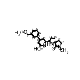 COCc1cccc(-c2ccnc([C@H]3CC[C@@]4(CCN(C)C4=O)N3)c2)c1.Cl